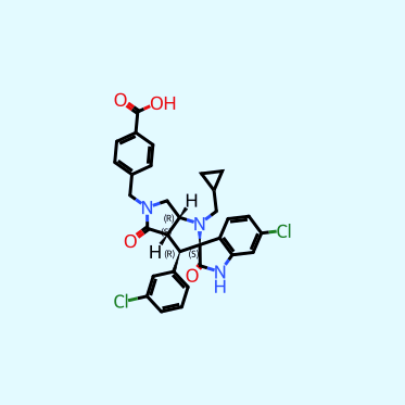 O=C(O)c1ccc(CN2C[C@H]3[C@@H](C2=O)[C@H](c2cccc(Cl)c2)[C@]2(C(=O)Nc4cc(Cl)ccc42)N3CC2CC2)cc1